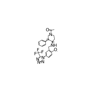 COc1ccc(-n2nnnc2C(F)(F)F)cc1CN[C@@H]1CCN(C(C)=O)C[C@@H]1c1ccccc1